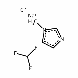 Cn1ccnc1.FC(F)F.[Cl-].[Na+]